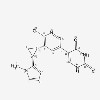 Cn1cccc1[C@H]1C[C@@H]1c1cc(-c2c[nH]c(=O)[nH]c2=O)nnc1Cl